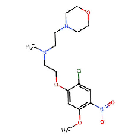 COc1cc(OCCN(C)CCN2CCOCC2)c(Cl)cc1[N+](=O)[O-]